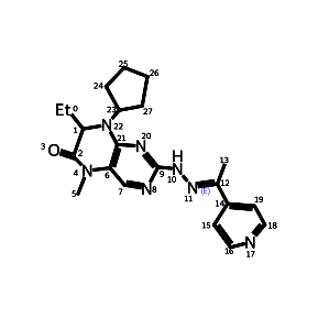 CCC1C(=O)N(C)c2cnc(N/N=C(\C)c3ccncc3)nc2N1C1CCCC1